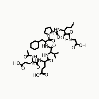 CC(=O)N[C@H](CCC(=O)O)C(=O)NC(CCC(=O)O)C(=O)NC(C(=O)NC(CC1CCCCC1)C(=O)N1CCC[C@H]1C(=O)NC(CCI)C(=O)C(=O)NCC(=O)O)C(C)C